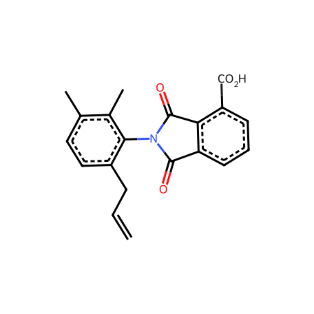 C=CCc1ccc(C)c(C)c1N1C(=O)c2cccc(C(=O)O)c2C1=O